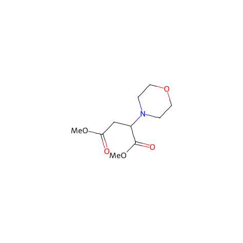 COC(=O)CC(C(=O)OC)N1CCOCC1